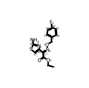 CCOC(=O)/C(=N/OCc1ccc(F)cc1)c1csc(N)n1